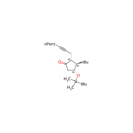 CCCCCC#CC[C@H]1C(=O)C[C@@H](O[Si](C)(C)C(C)(C)C)[C@@H]1CCCC